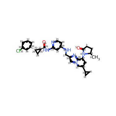 CC1CCC(=O)N1c1cc(C2CC2)cn2cc(CNc3ccnc(NC(=O)[C@H]4C[C@@H]4c4cccc(Cl)c4)c3)nc12